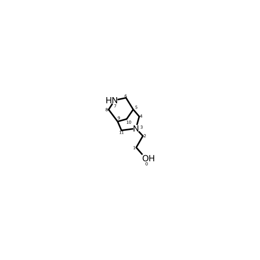 OCCN1CC2CNCC(C2)C1